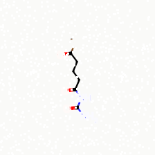 CCSC(=O)CCCC(=O)NC(N)=O